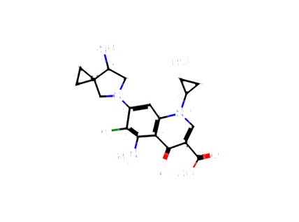 Cl.Nc1c(F)c(N2CC(N)C3(CC3)C2)cc2c1c(=O)c(C(=O)O)cn2C1CC1